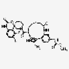 COC(=O)Nc1ccc2c(c1)NC(O)CCCCC(C(=O)N1CCC[C@@]3(C1)OC(=O)Nc1ccc(Cl)c(F)c13)c1nc-2c(C)[nH]1